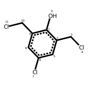 Oc1c(CCl)cc(Cl)cc1CCl